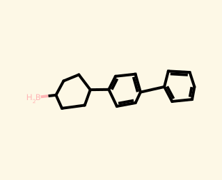 BC1CCC(c2ccc(-c3ccccc3)cc2)CC1